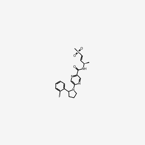 C[C@H](/C=C/S(C)(=O)=O)NC(=O)c1cnc(N2CCCC2c2ccccc2F)cn1